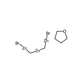 C1CCOC1.[Br][Zn][CH2][Zn][CH2][Zn][Br]